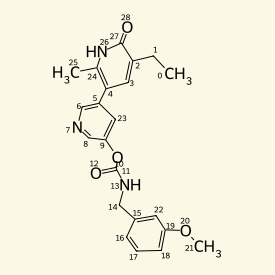 CCc1cc(-c2cncc(OC(=O)NCc3cccc(OC)c3)c2)c(C)[nH]c1=O